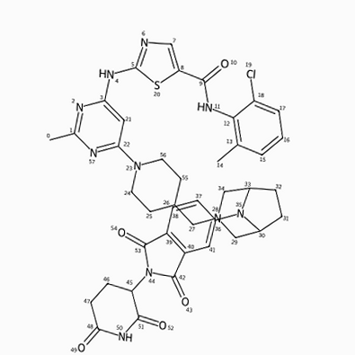 Cc1nc(Nc2ncc(C(=O)Nc3c(C)cccc3Cl)s2)cc(N2CCC(CN3CC4CCC(C3)N4c3ccc4c(c3)C(=O)N(C3CCC(=O)NC3=O)C4=O)CC2)n1